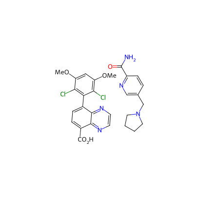 COc1cc(OC)c(Cl)c(-c2ccc(C(=O)O)c3nccnc23)c1Cl.NC(=O)c1ccc(CN2CCCC2)cn1